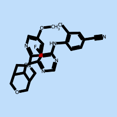 COc1cnc(N2CC3COCC(C2)C3Oc2ncnc(Nc3ccc(C#N)cc3Cl)c2F)nc1